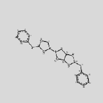 c1ccc(CC2OCC(C3CC4OC(Cc5ccccc5)OC4O3)O2)cc1